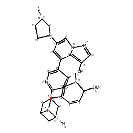 COC1C=CC(CN2C3C[C@@H]2CN(c2ccc(-c4cc(N5CC[C@H](F)C5)cn5ncc(C#N)c45)cn2)C3)=CN1C